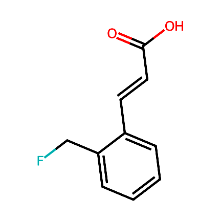 O=C(O)/C=C/c1ccccc1CF